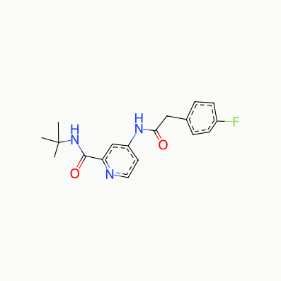 CC(C)(C)NC(=O)c1cc(NC(=O)Cc2ccc(F)cc2)ccn1